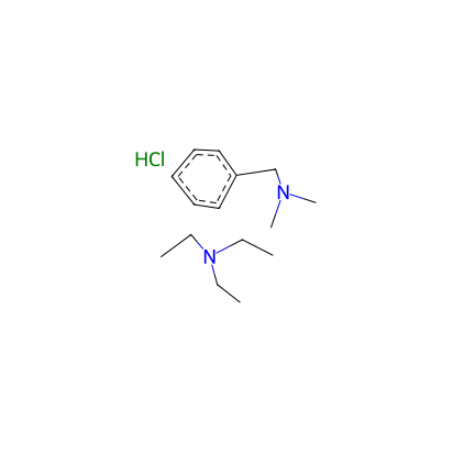 CCN(CC)CC.CN(C)Cc1ccccc1.Cl